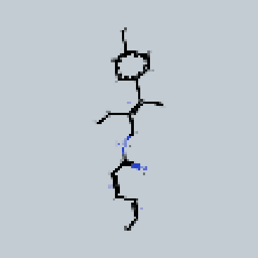 C/C=C\C=C/C(=N)NC/C(CC)=C(\C)c1ccc(C)cc1